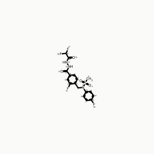 CS(=O)(=O)N(Cc1ccc(C(=O)NNC(=O)C(F)F)cc1F)c1ccc(F)cc1